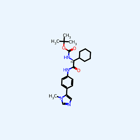 Cn1cncc1-c1ccc(NC(=O)[C@@H](NC(=O)OC(C)(C)C)C2CCCCC2)cc1